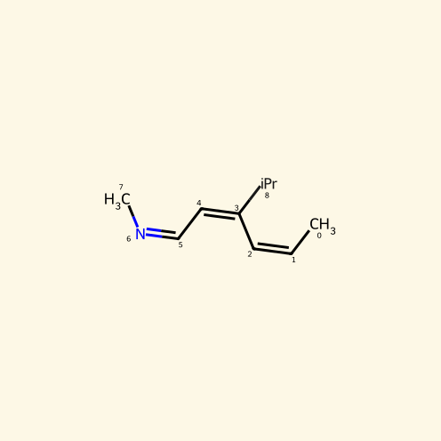 C\C=C/C(=C\C=N/C)C(C)C